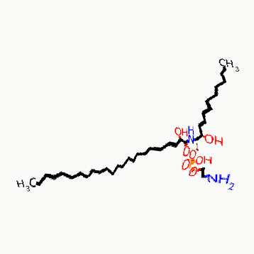 CCCCCCC/C=C/C=C/[C@@H](O)[C@H](COP(=O)(O)OCCN)NC(=O)C(O)CCCCCCCCCCCCCCCCCCCCCC